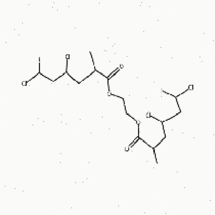 CC(CC(Cl)CC(Cl)I)C(=O)OCCOC(=O)C(C)CC(Cl)CC(Cl)I